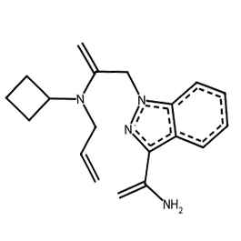 C=CCN(C(=C)Cn1nc(C(=C)N)c2ccccc21)C1CCC1